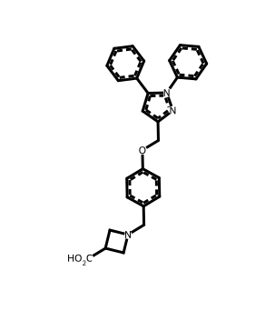 O=C(O)C1CN(Cc2ccc(OCc3cc(-c4ccccc4)n(-c4ccccc4)n3)cc2)C1